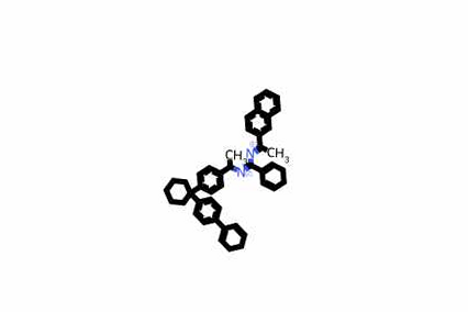 C/C(=N\C(=N/C(C)c1ccc(C2(c3ccc(C4=CCCC=C4)cc3)CCCCC2)cc1)C1=CCCC=C1)c1ccc2ccccc2c1